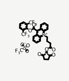 O=C(CCC[n+]1c2ccccc2c(C(=O)Oc2c(C(F)(F)F)cccc2C(F)(F)F)c2ccccc21)ON1C(=O)CCC1=O.O=S(=O)([O-])C(F)(F)F